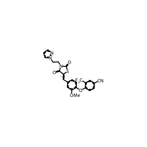 COc1cc(/C=C2\SC(=O)N(CCn3cccn3)C2=O)ccc1Oc1ccc(C#N)cc1C(F)(F)F